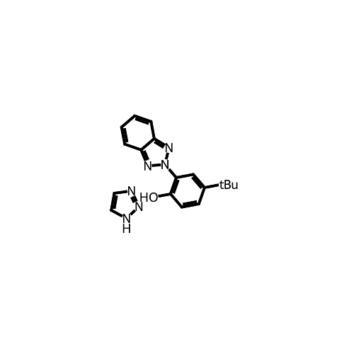 CC(C)(C)c1ccc(O)c(-n2nc3ccccc3n2)c1.c1c[nH]nn1